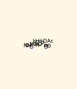 CC(=O)O[C@H]1C[C@]2(O)[C@@H]3CC[C@@H]4C[C@@H](N(C)C(=O)N5CCN(C)CC5)CC[C@]4(C)[C@H]3CC[C@]2(C)[C@H]1C1=CC(=O)OC1